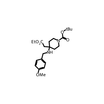 CCOC(=O)CC1(NCc2ccc(OC)cc2)CCN(C(=O)OC(C)(C)C)CC1